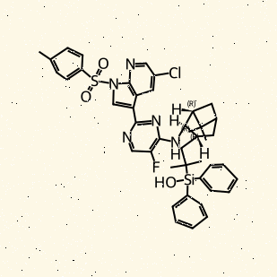 Cc1ccc(S(=O)(=O)n2cc(-c3ncc(F)c(N[C@@H]4[C@@H](CC(C)(C)[Si](O)(c5ccccc5)c5ccccc5)CC5C[C@@H]4C5(C)C)n3)c3cc(Cl)cnc32)cc1